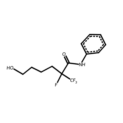 O=C(Nc1ccccc1)C(F)(CCCCO)C(F)(F)F